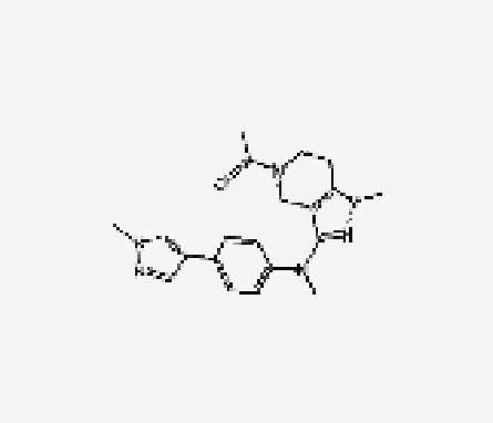 CC(=O)N1CCc2c(c(N(C)c3ccc(-c4cnn(C)c4)cc3)nn2C)C1